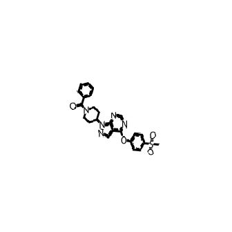 CS(=O)(=O)c1ccc(Oc2ncnc3c2cnn3C2CCN(C(=O)c3ccccc3)CC2)cc1